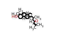 CC(C)=CC(=O)C[C@@H](C)[C@H]1CC[C@H]2[C@@H]3CC=C4C(C)(C)[C@H](O)CC[C@]4(C)[C@H]3CC[C@]12C